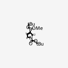 COB(OC(C)(C)C)C1=CCN(C(=O)OC(C)(C)C)C1